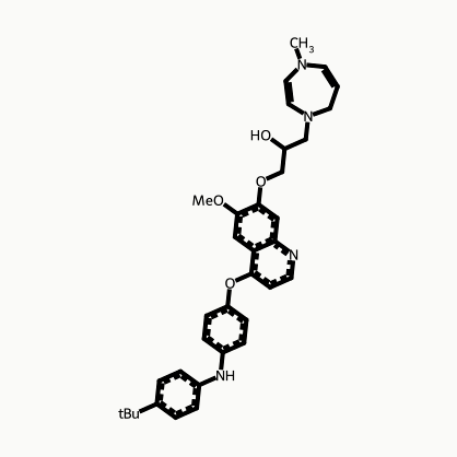 COc1cc2c(Oc3ccc(Nc4ccc(C(C)(C)C)cc4)cc3)ccnc2cc1OCC(O)CN1C=CN(C)C=CC1